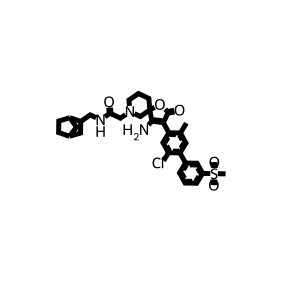 Cc1cc(-c2cccc(S(C)(=O)=O)c2)c(Cl)cc1C1=C(N)C2(CCCN(CC(=O)NCC3CC4CCC3C4)C2)OC1=O